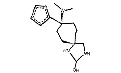 CN(C)[C@]1(c2cccs2)CC[C@@]2(CC1)CNC(O)N2